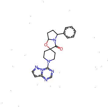 O=C1N2C(CCC2c2ccccc2)OC12CCN(c1ncnc3ccnn13)CC2